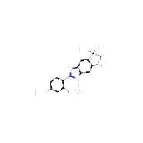 COc1cc(C(F)(F)F)ccc1-c1nc2cc3c(cc2[nH]1)NCC3(C)C